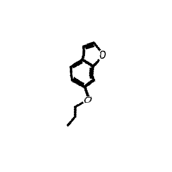 CCCOc1ccc2ccoc2c1